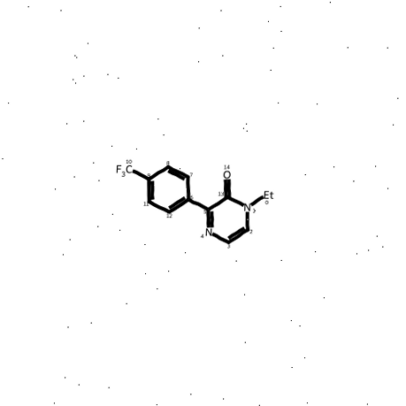 CCn1ccnc(-c2ccc(C(F)(F)F)cc2)c1=O